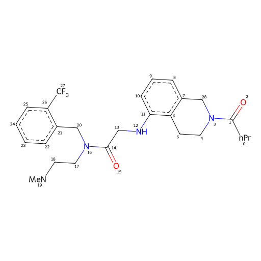 CCCC(=O)N1CCc2c(cccc2NCC(=O)N(CCNC)Cc2ccccc2C(F)(F)F)C1